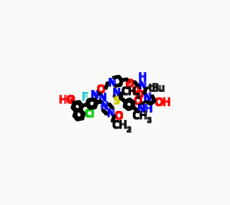 C=CC(=O)N1CCN(c2nc(OCCN3CCC(COCC(=O)N[C@H](C(=O)N4C[C@@H](O)C[C@H]4C(=O)N[C@@H](C)c4ccc(-c5scnc5C)cc4)C(C)(C)C)CC3)nc3c(F)c(-c4cc(O)cc5ccccc45)c(Cl)cc23)CC1